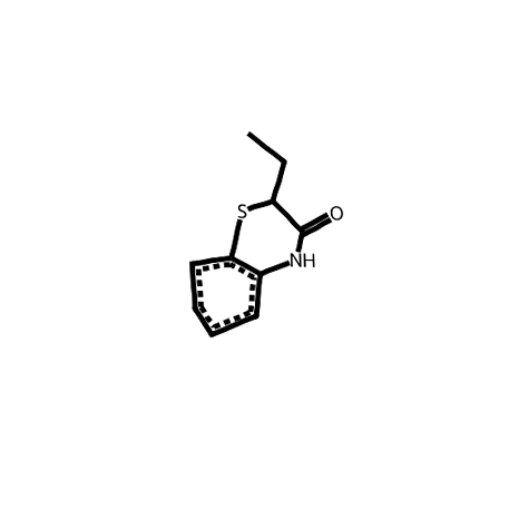 CCC1Sc2ccccc2NC1=O